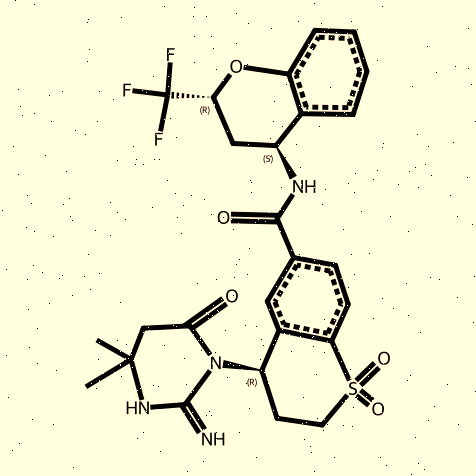 CC1(C)CC(=O)N([C@@H]2CCS(=O)(=O)c3ccc(C(=O)N[C@H]4C[C@H](C(F)(F)F)Oc5ccccc54)cc32)C(=N)N1